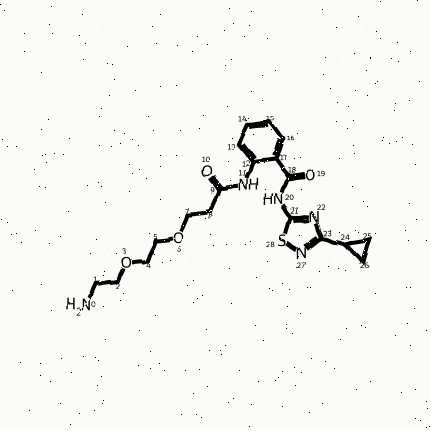 NCCOCCOCCC(=O)Nc1ccccc1C(=O)Nc1nc(C2CC2)ns1